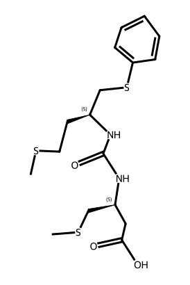 CSCC[C@@H](CSc1ccccc1)NC(=O)N[C@H](CSC)CC(=O)O